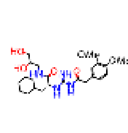 COc1ccc(CC(=O)NC(=N)N[C@H](CC2CCCCC2)C(=O)NC[C@@H](O)CO)cc1OC